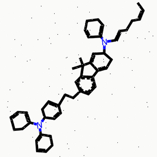 C/C=C\CC/C=C/N(C1=CCCC=C1)C1C=C2C(=CC1)c1ccc(CCC3=CCC(N(C4=CC=CCC4)C4=CC=CCC4)C=C3)cc1C2(C)C